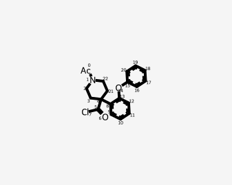 CC(=O)N1CCC(C(=O)Cl)(c2ccccc2Oc2ccccc2)CC1